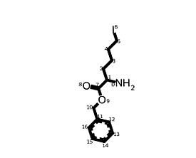 NC(CCCCI)C(=O)OCc1ccccc1